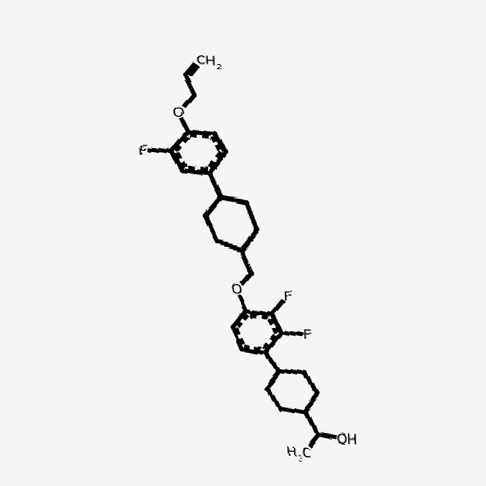 C=CCOc1ccc(C2CCC(COc3ccc(C4CCC(C(C)O)CC4)c(F)c3F)CC2)cc1F